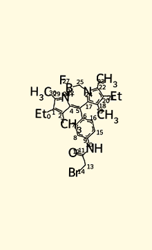 CCC1=C(C)C2=C(c3ccc(NC(=O)CBr)cc3)c3c(C)c(CC)c(C)n3CB(F)[N+]2=C1C